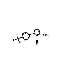 Cn1ccc(-c2ccc(C(F)(F)F)cc2)c1C#N